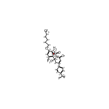 CS(=O)(=O)N1C(=O)C=C(c2ccc(C(F)F)cc2)CC1(c1ccc(OCCCCCC(F)(F)F)cc1F)C(F)(F)F